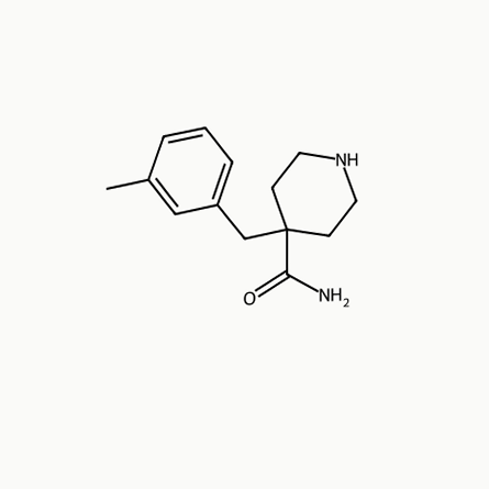 Cc1cccc(CC2(C(N)=O)CCNCC2)c1